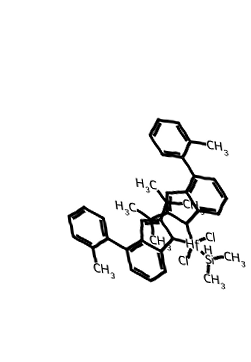 Cc1ccccc1-c1cccc2c1C=C(C(C)C)[CH]2[Hf]([Cl])([Cl])([CH]1C(C(C)C)=Cc2c(-c3ccccc3C)cccc21)[SiH](C)C